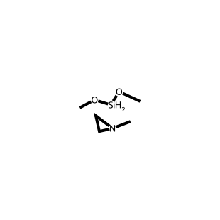 CN1CC1.CO[SiH2]OC